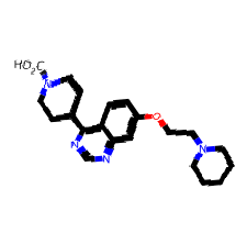 O=C(O)N1CCC(c2ncnc3cc(OCCN4CCCCC4)ccc23)CC1